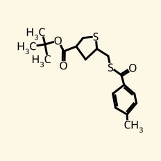 Cc1ccc(C(=O)SCC2CC(C(=O)OC(C)(C)C)CS2)cc1